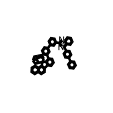 c1ccc(-c2ccc(-c3nc(-c4cccc(-c5cccc(-c6cccc7c6C6(c8c-7ccc7ccccc87)C7CC8CC(C7)CC6C8)c5)c4)nc4ccccc34)cc2)cc1